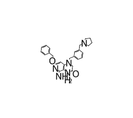 Nc1nc(OCc2ccccc2)cc2c1NC(=O)CN2Cc1cccc(CN2CCCC2)c1